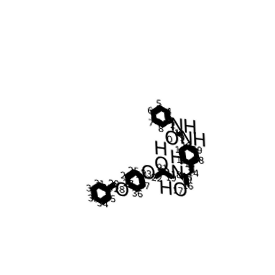 O=C(Nc1ccccc1)Nc1ccc(C[C@@H](CO)NC[C@H](O)COc2ccc(OCc3ccccc3)cc2)cc1